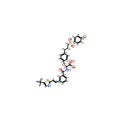 CC(C)(C)c1cnc(C=Cc2cccc(C(=O)NC(Oc3ccc(CCCS(=O)(=O)c4ccc(Cl)cc4)cc3)C(=O)O)c2)s1